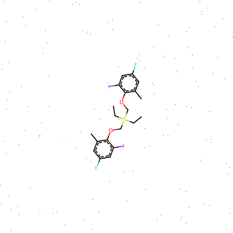 CCS(CC)(COc1c(C)cc(F)cc1I)COc1c(C)cc(F)cc1I